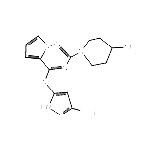 NC1CCN(c2nc(Nc3cc(C(=O)O)n[nH]3)c3cccn3n2)CC1